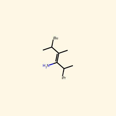 CCC(C)C(C)/C(C)=C(\N)C(C)C(C)C